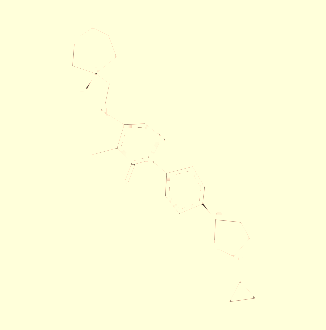 O=c1c(Cl)c(NC[C@@]2(F)CCCOC2)cnn1-c1ccc([C@H]2CC[C@H](C3CC3)O2)cc1